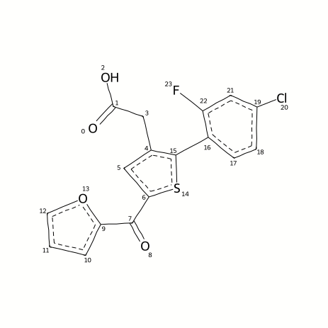 O=C(O)Cc1cc(C(=O)c2ccco2)sc1-c1ccc(Cl)cc1F